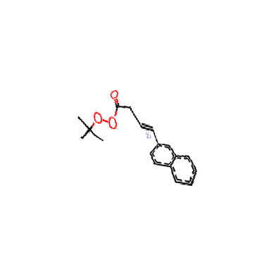 CC(C)(C)OOC(=O)C/C=C/c1ccc2ccccc2c1